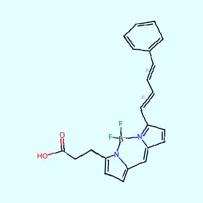 O=C(O)CCc1ccc2n1[B-](F)(F)[N+]1=C(/C=C/C=C/c3ccccc3)C=CC1=C2